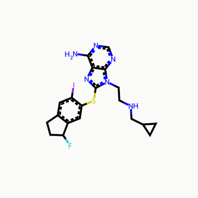 Nc1ncnc2c1nc(Sc1cc3c(cc1I)CCC3F)n2CCNCC1CC1